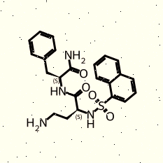 NCC[C@H](NS(=O)(=O)c1cccc2ccccc12)C(=O)N[C@@H](Cc1ccccc1)C(N)=O